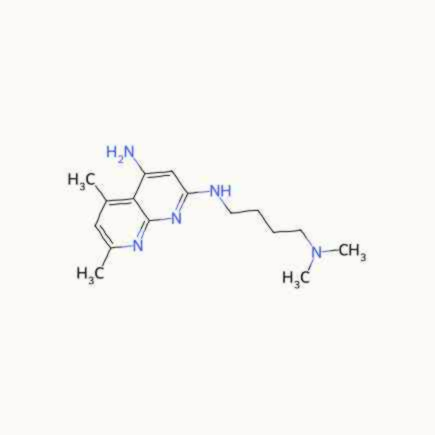 Cc1cc(C)c2c(N)cc(NCCCCN(C)C)nc2n1